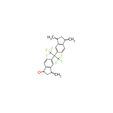 C=C1CC(=C)c2cc(C(c3ccc4c(c3)C(=C)CC4=O)(C(F)(F)F)C(F)(F)F)ccc21